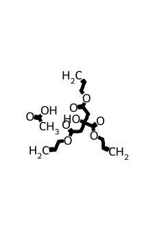 C=CCOC(=O)CC(O)(CC(=O)OCC=C)C(=O)OCC=C.CC(=O)O